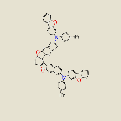 CC(C)c1ccc(N(c2ccc3cc4c(cc3c2)oc2ccc3oc5cc6cc(N(c7ccc(C(C)C)cc7)c7ccc8c(c7)oc7ccccc78)ccc6cc5c3c24)c2ccc3c(c2)oc2ccccc23)cc1